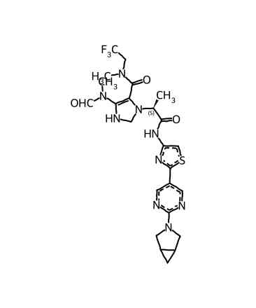 C[C@@H](C(=O)Nc1csc(-c2cnc(N3CC4CC4C3)nc2)n1)N1CNC(N(C)C=O)=C1C(=O)N(C)CC(F)(F)F